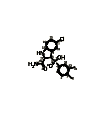 Cc1ccc(P(=O)(O)C2c3cc(Cl)ccc3NC2C(N)=O)cc1C